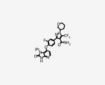 CC(C)n1c(=O)[nH]c2nccc(Oc3ccc(-c4nn(C5CCCOC5)c(C(F)(F)F)c4C(N)=O)cc3F)c21